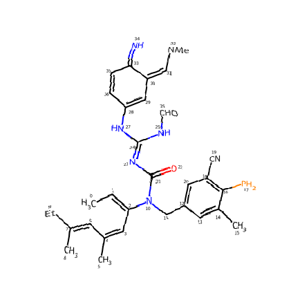 C\C=C(/C=C(C)\C=C(/C)CC)N(Cc1cc(C)c(P)c(C#N)c1)C(=O)/N=C(\NC=O)NC1=C/C(=C/NC)C(=N)C=C1